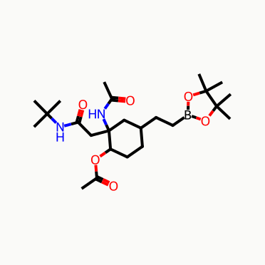 CC(=O)NC1(CC(=O)NC(C)(C)C)CC(CCB2OC(C)(C)C(C)(C)O2)CCC1OC(C)=O